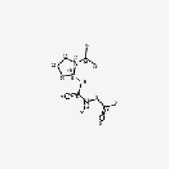 CC(=O)CN(C)C(=O)C[C@@H]1CCCN1C(C)C